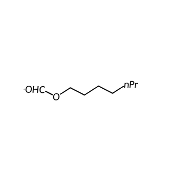 [CH2]CCCCCCO[C]=O